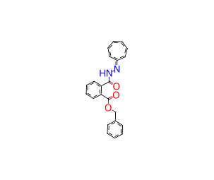 O=C(NN=c1cccccc1)c1ccccc1C(=O)OCc1ccccc1